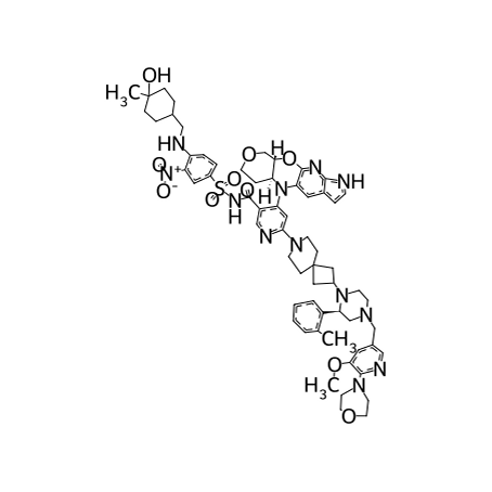 COc1cc(CN2CCN(C3CC4(CCN(c5cc(N6c7cc8cc[nH]c8nc7O[C@H]7COCC[C@@H]76)c(C(=O)NS(=O)(=O)c6ccc(NCC7CCC(C)(O)CC7)c([N+](=O)[O-])c6)cn5)CC4)C3)[C@H](c3ccccc3C)C2)cnc1N1CCOCC1